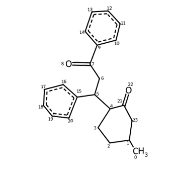 CC1CCC(C(CC(=O)c2ccccc2)c2ccccc2)C(=O)C1